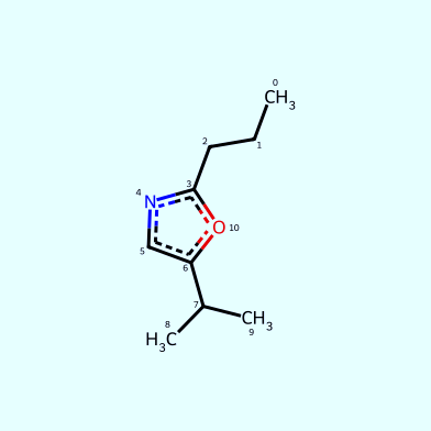 CCCc1ncc(C(C)C)o1